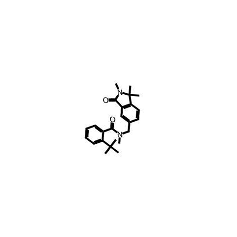 CN(Cc1ccc2c(c1)C(=O)N(C)C2(C)C)C(=O)c1ccccc1C(C)(C)C